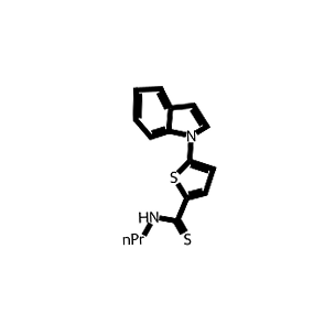 CCCNC(=S)c1ccc(-n2ccc3ccccc32)s1